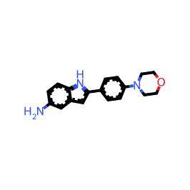 Nc1ccc2[nH]c(-c3ccc(N4CCOCC4)cc3)cc2c1